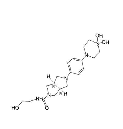 O=C(NCCO)N1C[C@@H]2CN(c3ccc(N4CCS(O)(O)CC4)cc3)C[C@@H]2C1